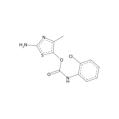 Cc1nc(N)sc1OC(=O)Nc1ccccc1Cl